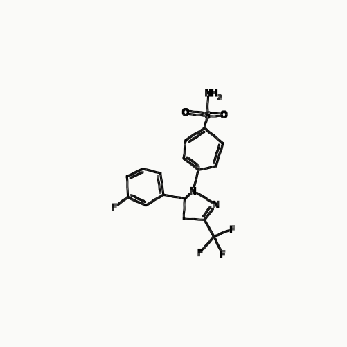 NS(=O)(=O)c1ccc(N2N=C(C(F)(F)F)CC2c2cccc(F)c2)cc1